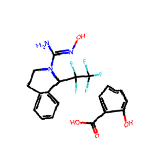 NC(=NO)N1CCc2ccccc2C1C(F)(F)C(F)(F)F.O=C(O)c1ccccc1O